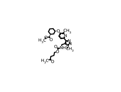 COC(=O)[C@H]1CCC[C@H](Oc2ccc(-c3nnn(C)c3CNC(=O)OCCCC(C)=O)nc2C)C1